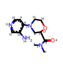 CN(C)C(=O)C1CN(c2ccncc2N)CCO1